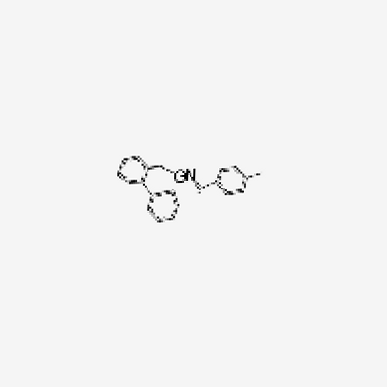 Cc1ccc(/[C]=N/OCc2ccccc2-c2ccccc2)cc1